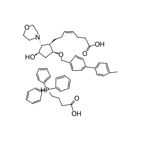 Cc1ccc(-c2ccc(CO[C@H]3C[C@@H](O)[C@H](N4CCOCC4)[C@H]3CC/C=C\CCC(=O)O)cc2)cc1.O=C(O)CCC[PH](c1ccccc1)(c1ccccc1)c1ccccc1